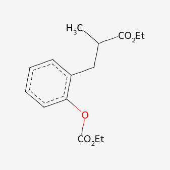 CCOC(=O)Oc1ccccc1CC(C)C(=O)OCC